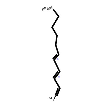 [CH2]CCCCCCCC/C=C/C=C/C=C